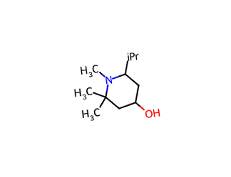 CC(C)C1CC(O)CC(C)(C)N1C